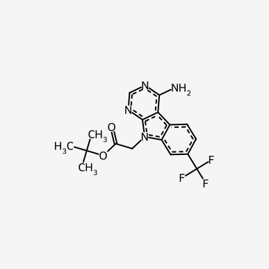 CC(C)(C)OC(=O)Cn1c2cc(C(F)(F)F)ccc2c2c(N)ncnc21